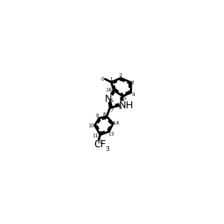 Cc1cccc2[nH]c(-c3ccc(C(F)(F)F)cc3)nc12